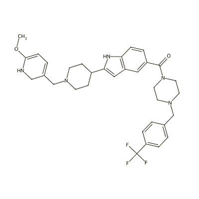 COC1=CC=C(CN2CCC(c3cc4cc(C(=O)N5CCN(Cc6ccc(C(F)(F)F)cc6)CC5)ccc4[nH]3)CC2)CN1